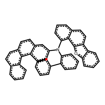 c1ccc(-c2ccccc2N(c2ccc3c(ccc4ccc5ccccc5c43)c2)c2cccc3ccc4c5ccccc5oc4c23)cc1